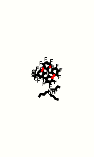 CCCC[NH+](CCCC)CCCC.C[Si](Cl)(Cl)c1c(F)c(F)c([B-](c2c(F)c(F)c(F)c(F)c2F)(c2c(F)c(F)c(F)c(F)c2F)c2c(F)c(F)c(F)c(F)c2F)c(F)c1F